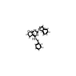 c1ccc(CNc2nc(-n3ncc4ccccc43)nc3c2CCO3)cc1